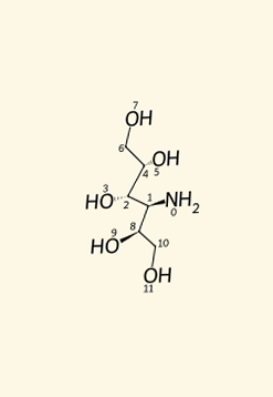 N[C@H]([C@H](O)[C@@H](O)CO)[C@H](O)CO